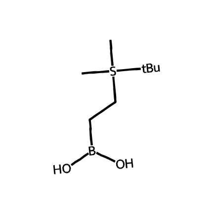 CC(C)(C)S(C)(C)CCB(O)O